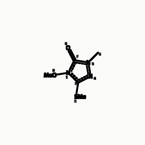 COn1c(SC)nn(C)c1=O